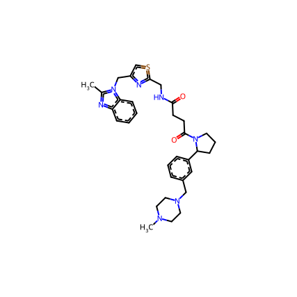 Cc1nc2ccccc2n1Cc1csc(CNC(=O)CCC(=O)N2CCCC2c2cccc(CN3CCN(C)CC3)c2)n1